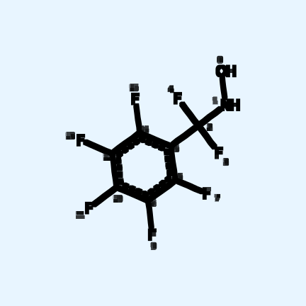 ONC(F)(F)c1c(F)c(F)c(F)c(F)c1F